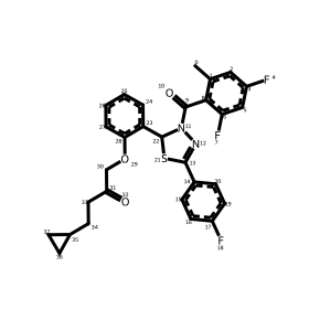 Cc1cc(F)cc(F)c1C(=O)N1N=C(c2ccc(F)cc2)SC1c1ccccc1OCC(=O)CCC1CC1